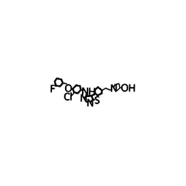 O[C@H]1CCN(CCc2ccc3c(c2)sc2ncnc(Nc4ccc(OCc5cccc(F)c5)c(Cl)c4)c23)C1